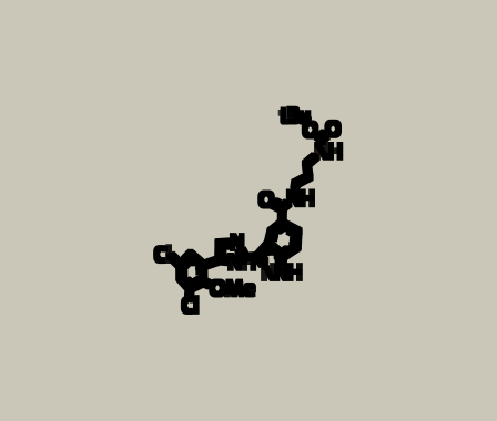 COc1c(Cl)cc(Cl)cc1-c1cnc(-c2n[nH]c3ccc(C(=O)NCCCNC(=O)OC(C)(C)C)cc23)[nH]1